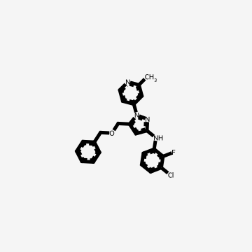 Cc1cc(-n2nc(Nc3cccc(Cl)c3F)cc2COCc2ccccc2)ccn1